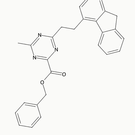 Cc1nc(CCc2cccc3c2-c2ccccc2C3)nc(C(=O)OCc2ccccc2)n1